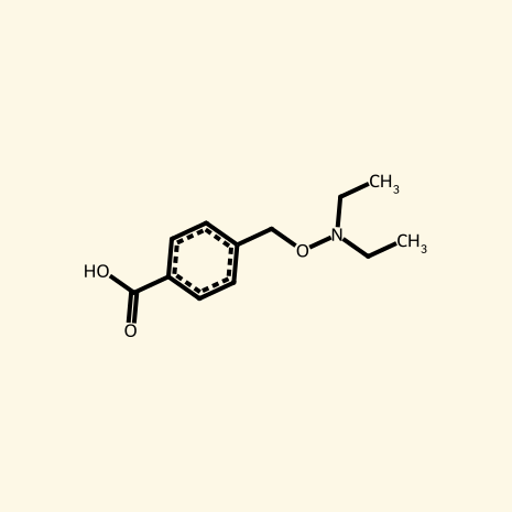 CCN(CC)OCc1ccc(C(=O)O)cc1